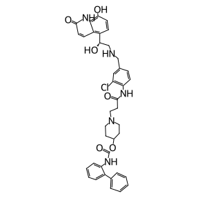 O=C(CCN1CCC(OC(=O)Nc2ccccc2-c2ccccc2)CC1)Nc1ccc(CNC[C@@H](O)c2ccc(O)c3[nH]c(=O)ccc23)cc1Cl